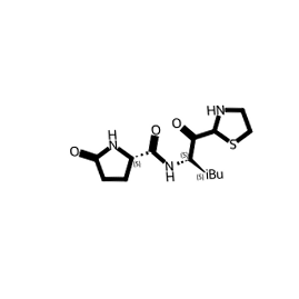 CC[C@H](C)[C@H](NC(=O)[C@@H]1CCC(=O)N1)C(=O)C1NCCS1